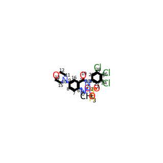 CN(O[SH](=O)=O)c1ccc(N2CCOCC2)cc1C(=O)Nc1cc(Cl)c(Cl)c(Cl)c1